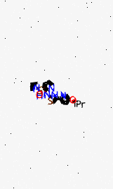 CC(C)Oc1ccc(-c2csc(Nc3ncccc3[S+]([O-])N3CCC3)n2)nc1